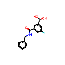 O=C(NCc1ccccc1)c1cc(F)cc(B(O)O)c1